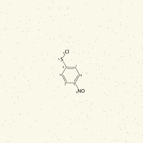 O=Nc1ccc(SCl)cc1